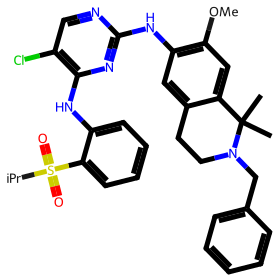 COc1cc2c(cc1Nc1ncc(Cl)c(Nc3ccccc3S(=O)(=O)C(C)C)n1)CCN(Cc1ccccc1)C2(C)C